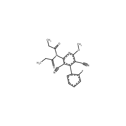 CCC(=O)N(C(=O)CC)c1nc(OC)c(C#N)c(-c2ccccc2F)c1C#N